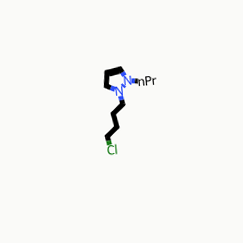 CCCN1C=CCN1CCCCCl